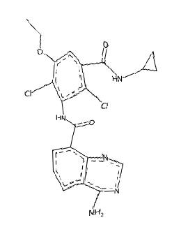 CCOc1cc(C(=O)NC2CC2)c(Cl)c(NC(=O)c2cccc3c(N)ncnc23)c1Cl